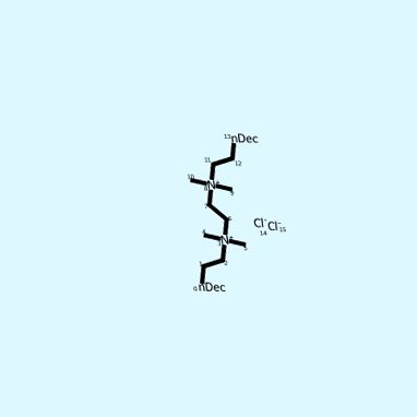 CCCCCCCCCCCC[N+](C)(C)CC[N+](C)(C)CCCCCCCCCCCC.[Cl-].[Cl-]